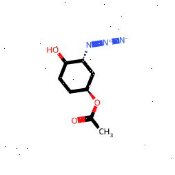 CC(=O)O[C@H]1CCC(O)[C@H](N=[N+]=[N-])C1